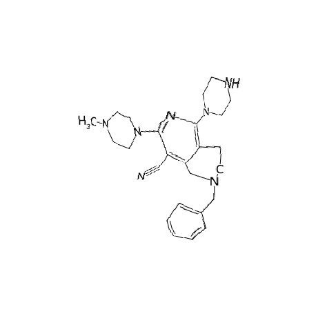 CN1CCN(c2nc(N3CCNCC3)c3c(c2C#N)CN(Cc2ccccc2)CC3)CC1